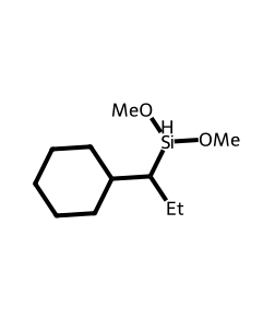 CCC(C1CCCCC1)[SiH](OC)OC